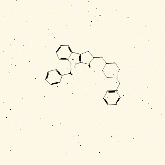 O=C1c2c(c3ccccc3n2C(=O)c2ccccc2)CC1CC1CCN(Cc2ccccc2)CC1